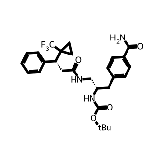 CC(C)(C)OC(=O)N[C@H](CNC(=O)C[C@H](c1ccccc1)C1(C(F)(F)F)CC1)Cc1ccc(C(N)=O)cc1